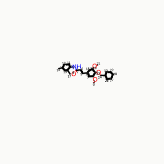 COc1cc(C=CC(=O)Nc2ccc(C)cc2C)cc(OC)c1OCc1ccccc1